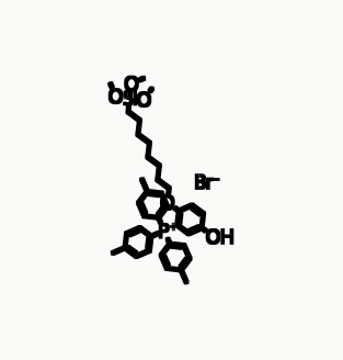 CO[Si](CCCCCCCCOc1ccc(O)cc1[P+](c1ccc(C)cc1)(c1ccc(C)cc1)c1ccc(C)cc1)(OC)OC.[Br-]